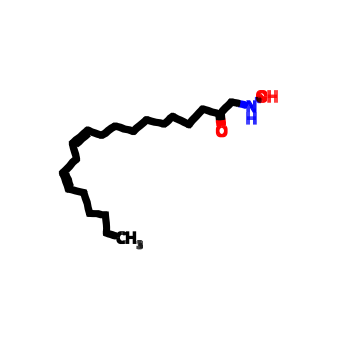 CCCCC/C=C\C/C=C\CCCCCCCCC(=O)CNO